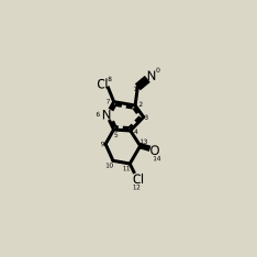 N#Cc1cc2c(nc1Cl)CCC(Cl)C2=O